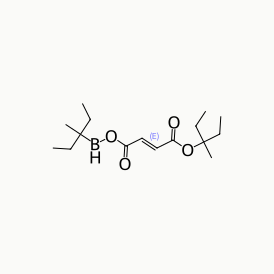 CCC(C)(BOC(=O)/C=C/C(=O)OC(C)(CC)CC)CC